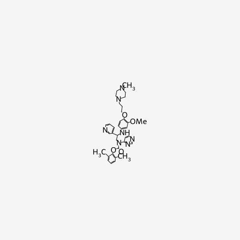 COc1cc(NC(CN(C(=O)Oc2c(C)cccc2C)c2ccncn2)c2cccnc2)ccc1OCCCN1CCN(C)CC1